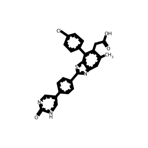 Cc1cc2nc(-c3ccc(-c4cnc(=O)[nH]c4)cc3)sc2c(-c2ccc(Cl)cc2)c1CC(=O)O